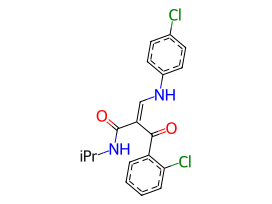 CC(C)NC(=O)C(=CNc1ccc(Cl)cc1)C(=O)c1ccccc1Cl